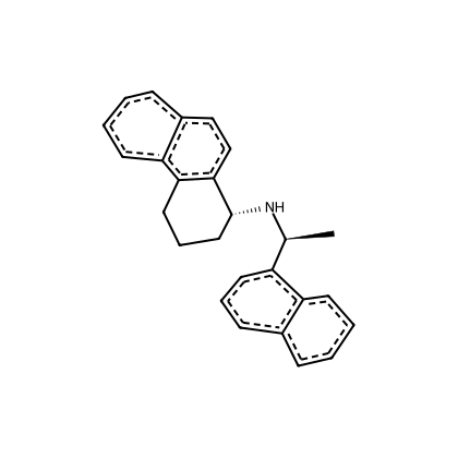 C[C@H](N[C@@H]1CCCc2c1ccc1ccccc21)c1cccc2ccccc12